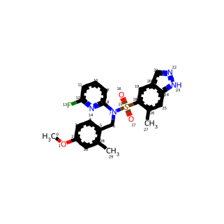 COc1ccc(CN(c2cccc(F)n2)S(=O)(=O)c2cc3cn[nH]c3cc2C)c(C)c1